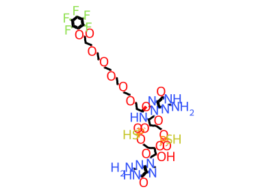 Nc1nc2c(ncn2C2OC3COP(=O)(S)OC4C(COP(=O)(S)OC3C2O)OC(n2cnc3c(=O)[nH]c(N)nc32)C4NC(=O)CCOCCOCCOCCOCCOCCC(=O)Oc2c(F)c(F)c(F)c(F)c2F)c(=O)[nH]1